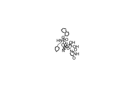 [N-]=[N+]=N[C@@]1(COP(=O)(N[C@@H](Cc2ccccc2)C(=O)O)Oc2cccc3ccccc23)O[C@@H](n2ccc(=O)[nH]c2=O)[C@H](O)[C@@H]1O